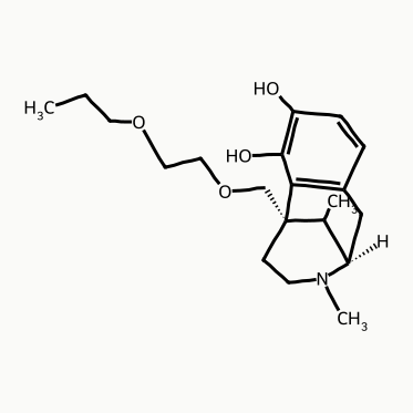 CCCOCCOC[C@]12CCN(C)[C@H](Cc3ccc(O)c(O)c31)C2C